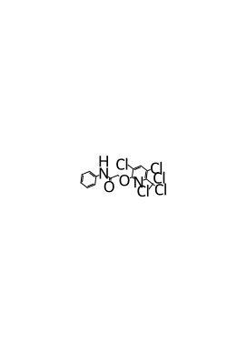 O=C(COc1nc(C(Cl)(Cl)Cl)c(Cl)cc1Cl)Nc1ccccc1